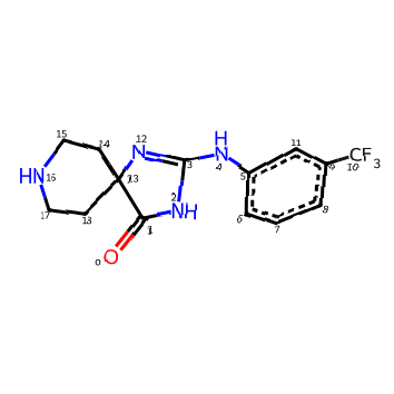 O=C1NC(Nc2cccc(C(F)(F)F)c2)=NC12CCNCC2